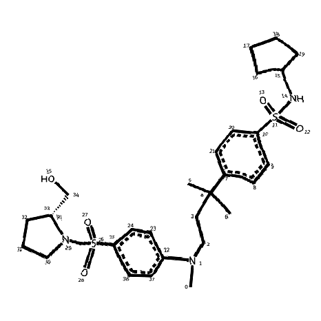 CN(CCC(C)(C)c1ccc(S(=O)(=O)NC2CCCC2)cc1)c1ccc(S(=O)(=O)N2CCC[C@@H]2CO)cc1